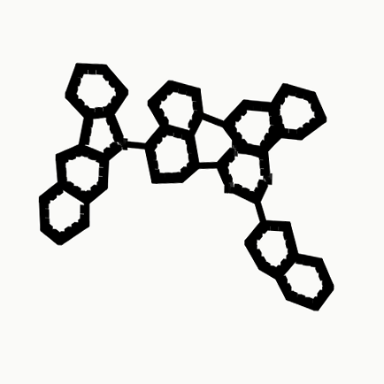 c1ccc(-c2nc(-c3ccc4ccccc4c3)nc(-c3ccc(-n4c5ccccc5c5cc6ccccc6cc54)c4cccc(-c5ccccc5)c34)n2)cc1